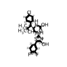 CC(C)(C)[C@@H](c1ccc(Cl)cc1)C(CNc1nc(O)c(-c2ccc(F)c(F)c2)s1)NC(=O)O